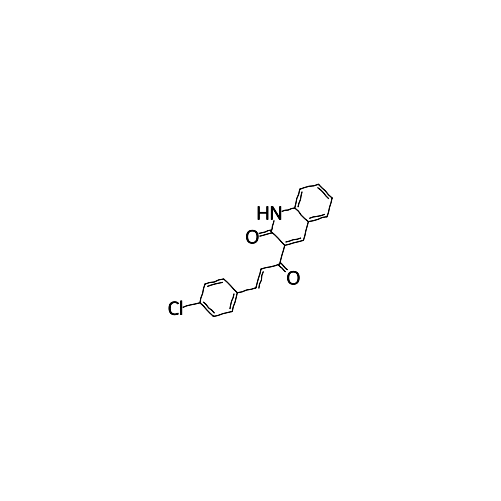 O=C(C=Cc1ccc(Cl)cc1)c1cc2ccccc2[nH]c1=O